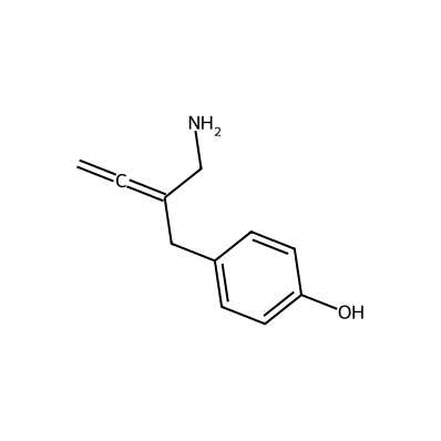 C=C=C(CN)Cc1ccc(O)cc1